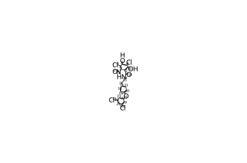 O=Nc1c(Cl)c(O)c(Cl)c(O)c1C(=O)NCCc1ccc(Oc2cc(Cl)cc(Cl)c2)cc1